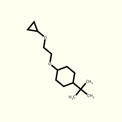 CC(C)(C)C1CCC(OCCOC2CC2)CC1